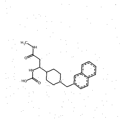 CNC(=O)CC(NC(=O)O)C1CCN(Cc2ccc3ccccc3c2)CC1